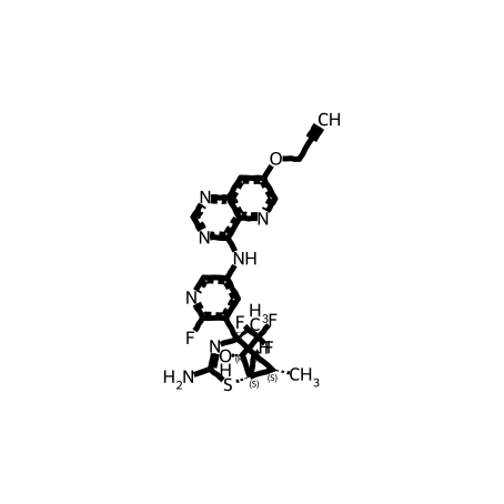 C#CCOc1cnc2c(Nc3cnc(F)c([C@@]4(C)N=C(N)S[C@]5([C@H](O)C(F)(F)F)[C@H]4[C@@H]5C)c3)ncnc2c1